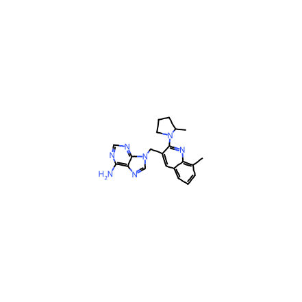 Cc1cccc2cc(Cn3cnc4c(N)ncnc43)c(N3CCCC3C)nc12